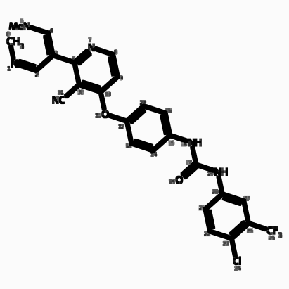 C/N=C\C(=C/NC)c1nccc(Oc2ccc(NC(=O)Nc3ccc(Cl)c(C(F)(F)F)c3)cc2)c1C#N